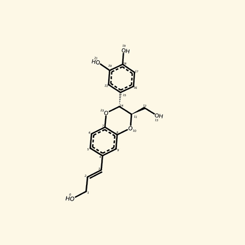 OC/C=C/c1ccc2c(c1)O[C@H](CO)[C@@H](c1ccc(O)c(O)c1)O2